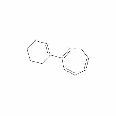 [C]1=C(C2=CCCCC2)C=CC=CC1